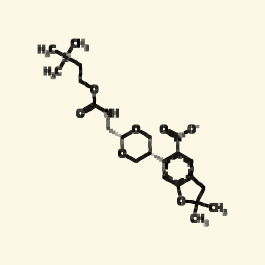 CC1(C)Cc2cc([N+](=O)[O-])c([C@H]3CO[C@@H](CNC(=O)OCC[Si](C)(C)C)OC3)cc2O1